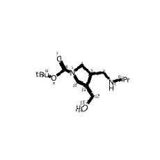 CC(C)NCC1CN(C(=O)OC(C)(C)C)CC1CO